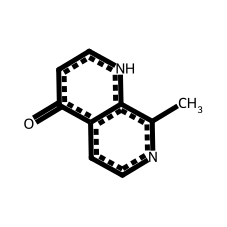 Cc1nccc2c(=O)cc[nH]c12